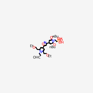 CCCCOc1cc(-c2cc(-c3cc(CCOCC)[n+](CCC=O)c(CCOCC)c3)on2)cc(OCCCC)[n+]1CCP(=O)(O)O